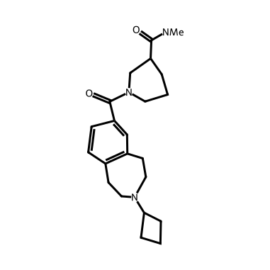 CNC(=O)C1CCCN(C(=O)c2ccc3c(c2)CCN(C2CCC2)CC3)C1